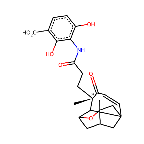 CC12CC34C=CC(=O)[C@@](C)(CCC(=O)Nc5c(O)ccc(C(=O)O)c5O)C3C(CC1C4)O2